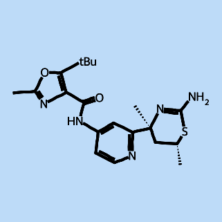 Cc1nc(C(=O)Nc2ccnc([C@]3(C)C[C@@H](C)SC(N)=N3)c2)c(C(C)(C)C)o1